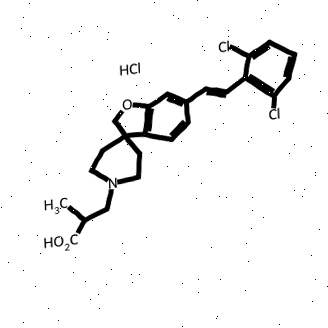 CC(CN1CCC2(CC1)COc1cc(/C=C/c3c(Cl)cccc3Cl)ccc12)C(=O)O.Cl